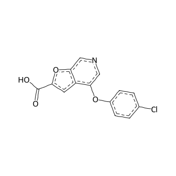 O=C(O)c1cc2c(Oc3ccc(Cl)cc3)cncc2o1